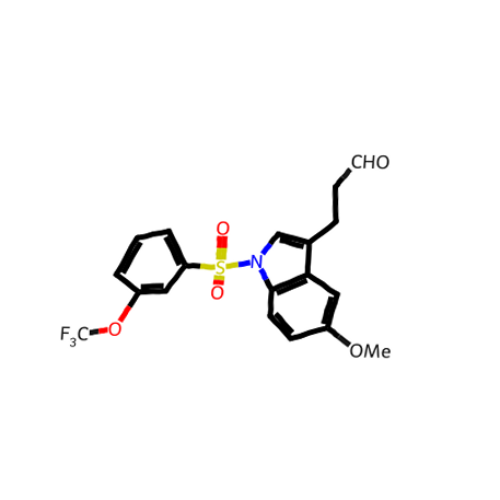 COc1ccc2c(c1)c(CCC=O)cn2S(=O)(=O)c1cccc(OC(F)(F)F)c1